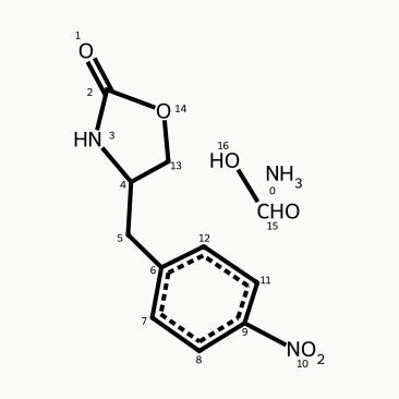 N.O=C1NC(Cc2ccc([N+](=O)[O-])cc2)CO1.O=CO